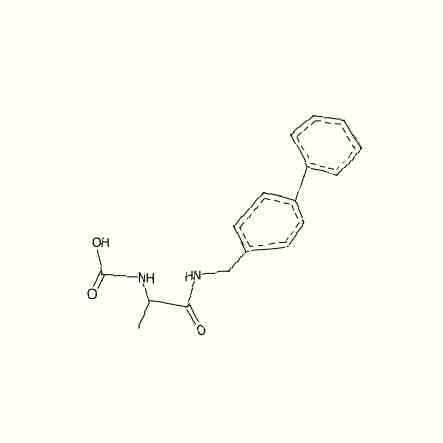 CC(NC(=O)O)C(=O)NCc1ccc(-c2ccccc2)cc1